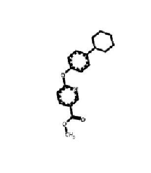 COC(=O)c1ccc(Oc2ccc(C3CCCCC3)cc2)nc1